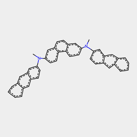 CN(c1ccc2cc3ccccc3cc2c1)c1ccc2c(ccc3cc(N(C)c4ccc5cc6ccccc6cc5c4)ccc32)c1